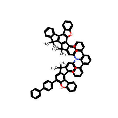 CC1(C)c2cc(N(c3ccc4c(c3)C(C)(C)c3c5c(c6c(oc7ccccc76)c3-4)-c3ccccc3C5(C)C)c3c(-c4ccccc4)cccc3-c3ccccc3)ccc2-c2c1cc(-c1ccc(-c3ccccc3)cc1)c1oc3ccccc3c21